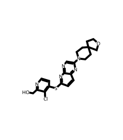 OCc1nccc(Sc2ccc3nc(N4CCC5(CCOC5)CC4)cnc3n2)c1Cl